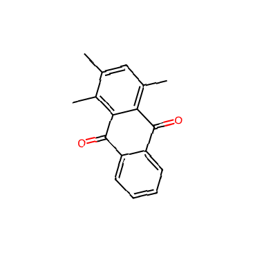 Cc1cc(C)c2c(c1C)C(=O)c1ccccc1C2=O